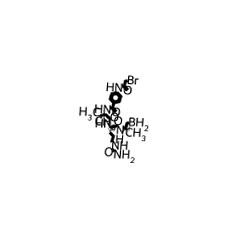 BC[C@H](C)NC(=O)[C@H](CCCNC(N)=O)NC(=O)C(NC(=O)c1ccc(NC(=O)CBr)cc1)C(C)C